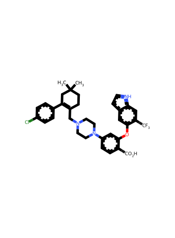 CC1(C)CCC(CN2CCN(c3ccc(C(=O)O)c(Oc4cc5cc[nH]c5cc4C(F)(F)F)c3)CC2)=C(c2ccc(Cl)cc2)C1